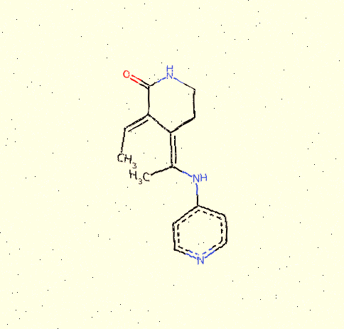 C/C=C1/C(=O)NCC/C1=C(/C)Nc1ccncc1